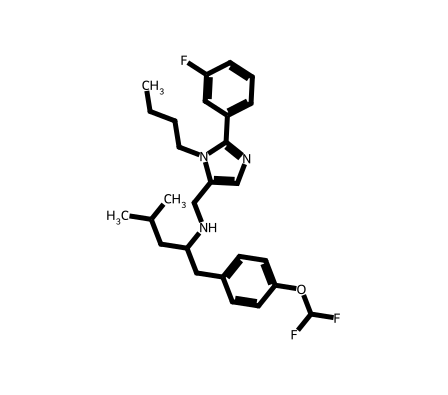 CCCCn1c(CNC(Cc2ccc(OC(F)F)cc2)CC(C)C)cnc1-c1cccc(F)c1